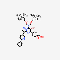 C[Si](C)(C)CCOCN(COCC[Si](C)(C)C)c1c(Br)c(C2CCC(O)(CO)CC2)nc2c(-c3ccc(-c4ccccc4)nc3)cnn12